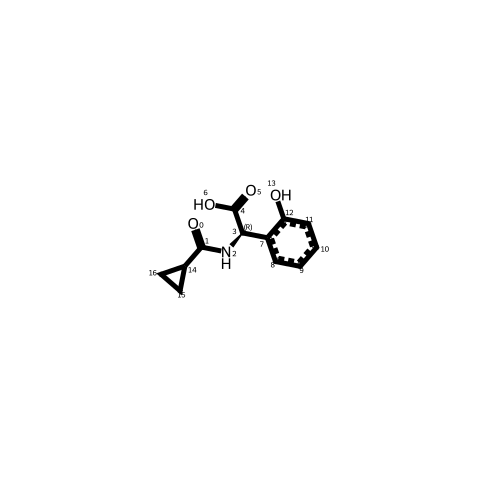 O=C(N[C@@H](C(=O)O)c1ccccc1O)C1CC1